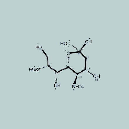 CO[C@H](CO)[C@@H](O)[C@@H]1O[C@](O)(C(=O)O)C[C@H](O)[C@H]1NC(C)=O